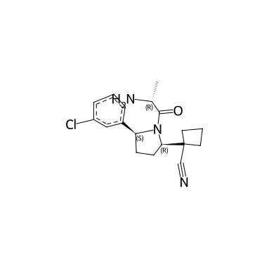 C[C@@H](N)C(=O)N1[C@H](c2cccc(Cl)c2)CC[C@@H]1C1(C#N)CCC1